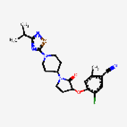 Cc1cc(OC2CCN(C3CCN(c4nc(C(C)C)ns4)CC3)C2=O)c(F)cc1C#N